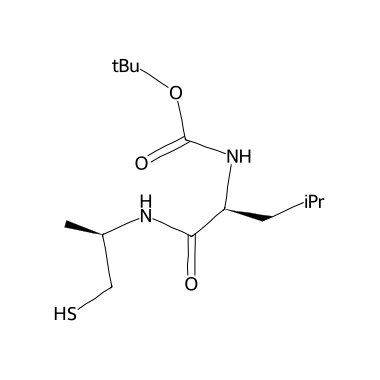 CC(C)C[C@H](NC(=O)OC(C)(C)C)C(=O)N[C@H](C)CS